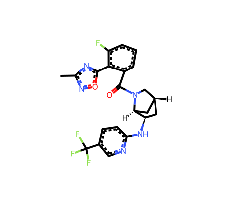 Cc1noc(-c2c(F)cccc2C(=O)N2C[C@@H]3C[C@@H](Nc4ccc(C(F)(F)F)cn4)[C@@H]2C3)n1